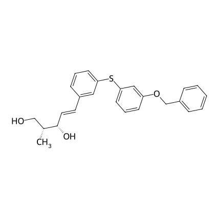 C[C@H](CO)[C@@H](O)/C=C/c1cccc(Sc2cccc(OCc3ccccc3)c2)c1